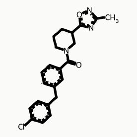 Cc1noc(C2CCCN(C(=O)c3cc[c]c(Cc4ccc(Cl)cc4)c3)C2)n1